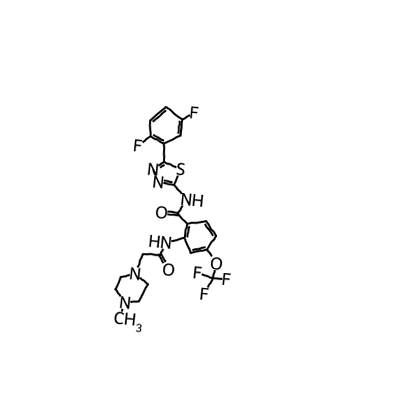 CN1CCN(CC(=O)Nc2cc(OC(F)(F)F)ccc2C(=O)Nc2nnc(-c3cc(F)ccc3F)s2)CC1